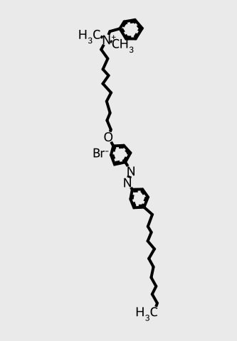 CCCCCCCCCCCCc1ccc(N=Nc2ccc(OCCCCCCCCCC[N+](C)(C)Cc3ccccc3)cc2)cc1.[Br-]